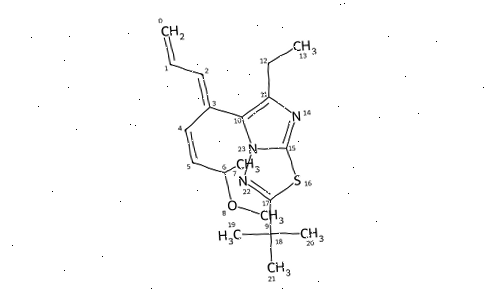 C=C/C=C(\C=C/C(C)OC)c1c(CC)nc2sc(C(C)(C)C)nn12